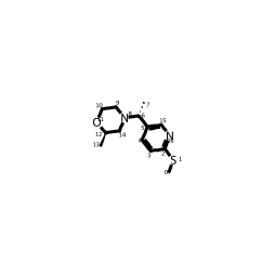 CSc1ccc([C@@H](C)N2CCO[C@H](C)C2)cn1